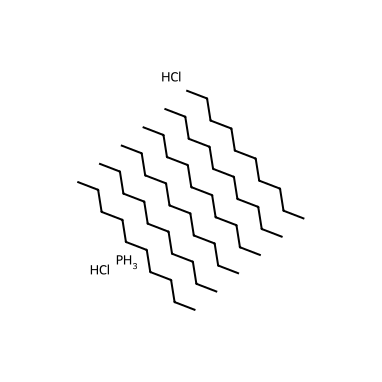 CCCCCCCCCC.CCCCCCCCCC.CCCCCCCCCC.CCCCCCCCCC.CCCCCCCCCC.CCCCCCCCCC.Cl.Cl.P